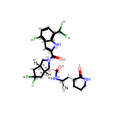 N#C[C@H](C[C@H]1CCCNC1=O)NC(=O)[C@@H]1[C@@H]2CC(F)(F)C[C@@H]2CN1C(=O)c1cc2c(F)ccc(C(F)F)c2[nH]1